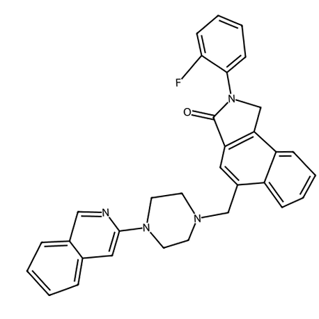 O=C1c2cc(CN3CCN(c4cc5ccccc5cn4)CC3)c3ccccc3c2CN1c1ccccc1F